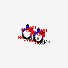 CO[C@H]1/C=C/O[C@@]2(C)Oc3c(C)c(O)c4c(O)c(c5c(nc6cc(C)ccn65)c4c3C2=O)NC(=O)/C(C)=C\C=C\[C@H](C)[C@H](O)[C@@H](C)[C@@H](O)[C@@H](C)[C@H](OC(C)=O)[C@@H]1C.CO[C@H]1/C=C/O[C@@]2(C)Oc3c(C)c(O)c4c(O)c(c5c(nc6cc(C)ccn65)c4c3C2=O)NC(=O)/C(C)=C\C=C\[C@H](C)[C@H](O)[C@@H](C)[C@@H](O)[C@@H](C)[C@H](OC(C)=O)[C@@H]1C